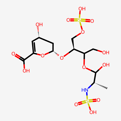 C[C@H](NS(=O)(=O)O)C(O)OC(CO)[C@H](COS(=O)(=O)O)O[C@H]1C[C@@H](O)C=C(C(=O)O)O1